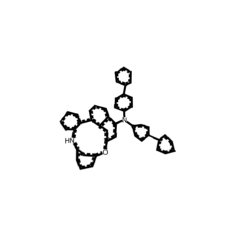 c1ccc(-c2ccc(N(c3ccc(-c4ccccc4)cc3)c3cc4cc5c3cccc5c3ccccc3[nH]c3cccc(c3)o4)cc2)cc1